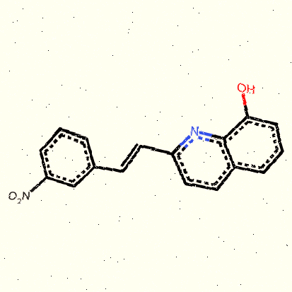 O=[N+]([O-])c1cccc(/C=C/c2ccc3cccc(O)c3n2)c1